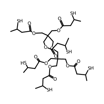 CC(S)CC(=O)OCC(COCC(COC(=O)CC(C)S)(COC(=O)CC(C)S)COC(=O)CC(C)S)(COC(=O)CC(C)S)COC(=O)CC(C)S